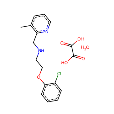 Cc1cccnc1CNCCOc1ccccc1Cl.O.O=C(O)C(=O)O